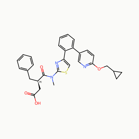 CN(C(=O)[C@@H](CC(=O)O)Cc1ccccc1)c1nc(-c2ccccc2-c2ccc(OCC3CC3)nc2)cs1